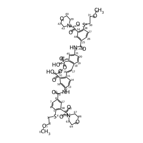 COCCSc1ccc(C(=O)Nc2ccc(C=Cc3ccc(NC(=O)c4ccc(SCCOC)c(S(=O)(=O)N5CCOCC5)c4)cc3S(=O)(=O)O)c(S(=O)(=O)O)c2)cc1S(=O)(=O)N1CCOCC1